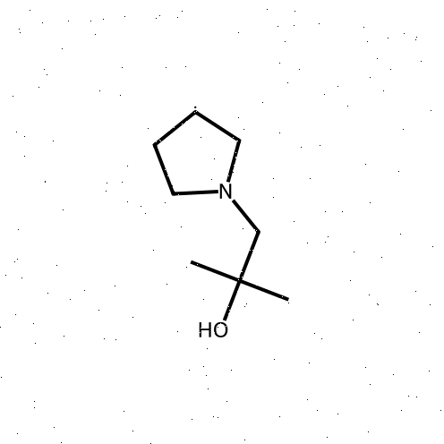 CC(C)(O)CN1C[CH]CC1